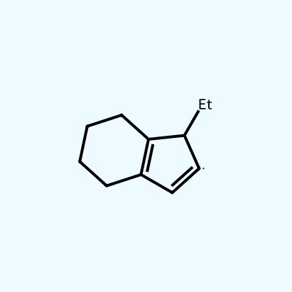 CCC1[C]=CC2=C1CCCC2